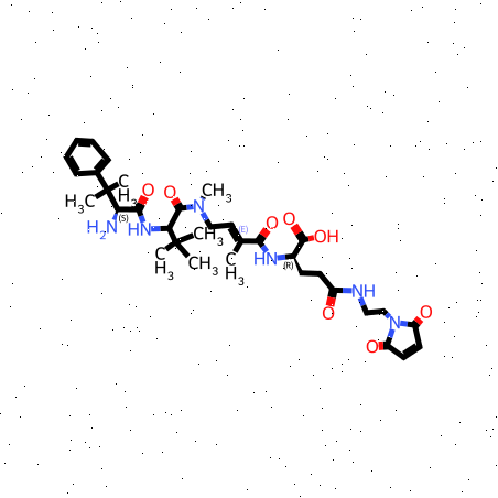 C/C(=C\CN(C)C(=O)C(NC(=O)[C@@H](N)C(C)(C)c1ccccc1)C(C)(C)C)C(=O)N[C@H](CCC(=O)NCCN1C(=O)C=CC1=O)C(=O)O